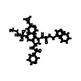 CC(C)CNS(=O)(=O)c1cc2c(c3cnc(C4CC4)cc13)[C@H](NC(=O)CCn1cnc3ccccc31)C[C@H]2NC(=O)c1cccnc1